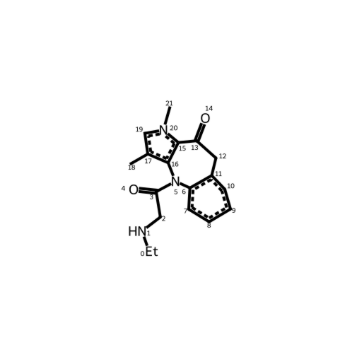 CCNCC(=O)N1c2ccccc2CC(=O)c2c1c(C)cn2C